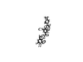 Cc1cc(C)c(CNC(=O)c2cc(Cl)c3c(c2C)OC[C@H](C2CCC(N(C)C)CC2)O3)c(=O)[nH]1